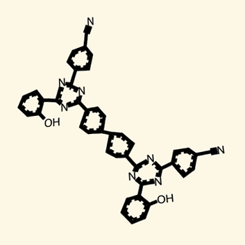 N#Cc1ccc(-c2nc(-c3ccc(-c4ccc(-c5nc(-c6ccc(C#N)cc6)nc(-c6ccccc6O)n5)cc4)cc3)nc(-c3ccccc3O)n2)cc1